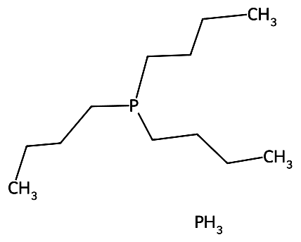 CCCCP(CCCC)CCCC.P